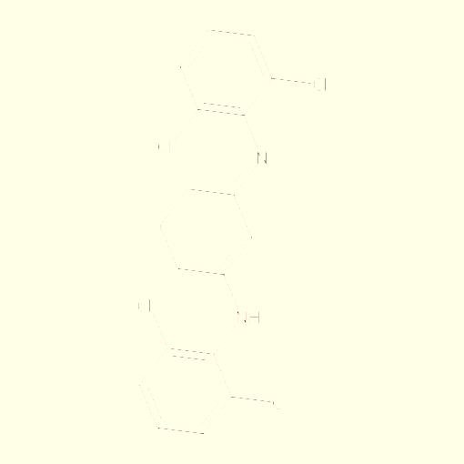 Clc1cccc(Cl)c1/N=C1/C=C(Nc2c(Cl)cccc2Cl)CCC1